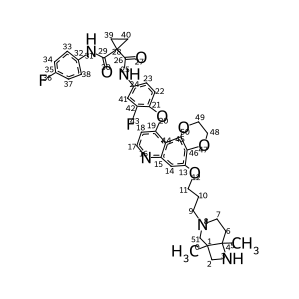 CC12CNC1(C)CCN(CCCOc1cc3nccc(Oc4ccc(NC(=O)C5(C(=O)Nc6ccc(F)cc6)CC5)cc4F)c3c3c1OCCO3)C2